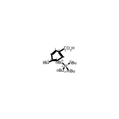 CC(C)(C)c1ccc(C(=O)O)cc1.CCCC[N+](CCCC)(CCCC)CCCC